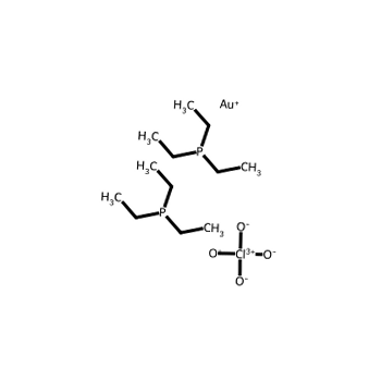 CCP(CC)CC.CCP(CC)CC.[Au+].[O-][Cl+3]([O-])([O-])[O-]